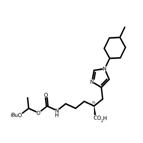 CC(C)COC(C)OC(=O)NCCC[C@@H](Cc1cn(C2CCC(C)CC2)cn1)C(=O)O